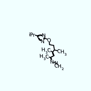 C=N/N=C(C)\C=C(/C)C(C)CCOc1ncc(C(C)C)cn1